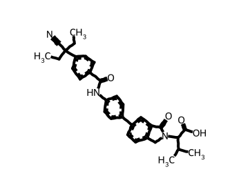 CCC(C#N)(CC)c1ccc(C(=O)Nc2ccc(-c3ccc4c(c3)C(=O)N(C(C(=O)O)C(C)C)C4)cc2)cc1